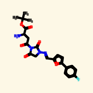 CC(C)(C)OC(=O)C(N)CC(=O)N1C(=O)CN(N=Cc2ccc(-c3ccc(F)cc3)o2)C1=O